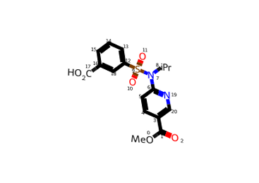 COC(=O)c1ccc(N(C(C)C)S(=O)(=O)c2cccc(C(=O)O)c2)nc1